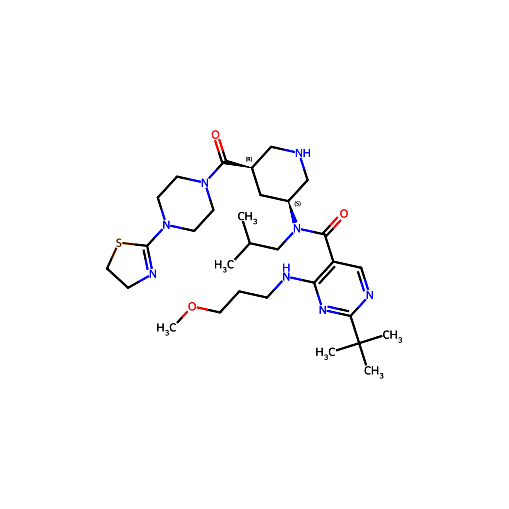 COCCCNc1nc(C(C)(C)C)ncc1C(=O)N(CC(C)C)[C@@H]1CNC[C@H](C(=O)N2CCN(C3=NCCS3)CC2)C1